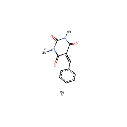 CCCN1C(=O)/C(=C/c2ccc([C@H](C)CC)cc2)C(=O)N([C@H](C)CC)C1=O